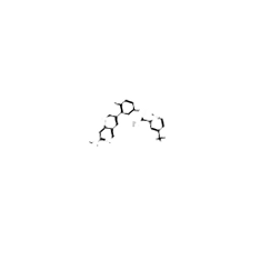 CNc1cc2ncc(-c3cc(NC(=N)c4cc(C(F)(F)F)ccn4)ccc3C)cc2cn1